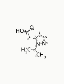 CC(C)n1nccc1CC(=O)O